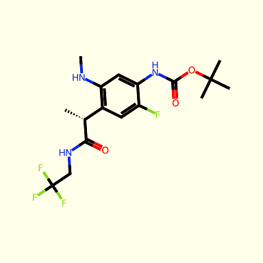 CNc1cc(NC(=O)OC(C)(C)C)c(F)cc1[C@@H](C)C(=O)NCC(F)(F)F